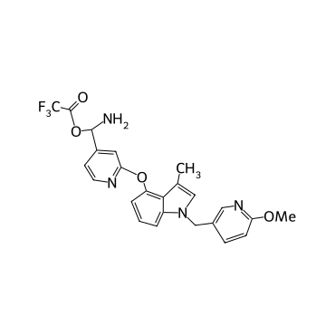 COc1ccc(Cn2cc(C)c3c(Oc4cc(C(N)OC(=O)C(F)(F)F)ccn4)cccc32)cn1